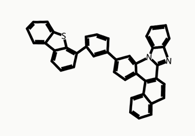 c1cc(-c2ccc3c4c5ccccc5ccc4c4nc5ccccc5n4c3c2)cc(-c2cccc3c2sc2ccccc23)c1